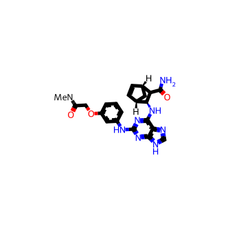 CNC(=O)COc1cccc(Nc2nc(N[C@@H]3C(C(N)=O)[C@H]4C=C[C@@H]3C4)c3nc[nH]c3n2)c1